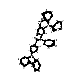 c1ccc(N2c3ccccc3Oc3cc4nc(-c5ccc(-n6c7ccccc7c7ccccc76)cc5)n(-c5ccccc5)c4cc32)cc1